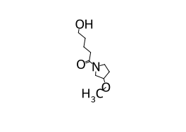 COC1CCN(C(=O)CCCCO)C1